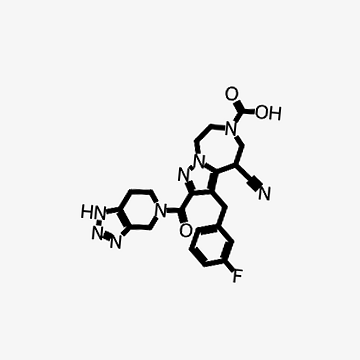 N#CC1CN(C(=O)O)CCn2nc(C(=O)N3CCc4[nH]nnc4C3)c(Cc3cccc(F)c3)c21